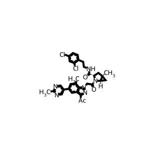 CC(=O)c1nn(CC(=O)N2[C@H](C(=O)NCCc3ccc(Cl)cc3Cl)C[C@@]3(C)C[C@@H]23)c2c(C)cc(-c3cnc(C)nc3)cc12